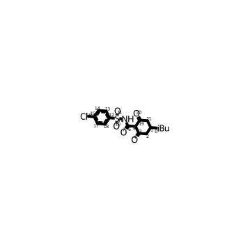 CCC(C)C1CC(=O)C(C(=O)NS(=O)(=O)c2ccc(Cl)cc2)C(=O)C1